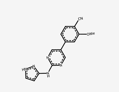 COc1cc(-c2cnc(Nc3cc[nH]n3)nc2)ccc1C#N